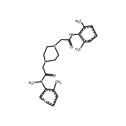 Cc1ccccc1N(C)C(=O)CN1CCN(CC(=O)Nc2c(C)cccc2C)CC1